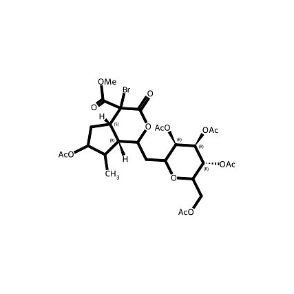 COC(=O)C1(Br)C(=O)OC(CC2OC(COC(C)=O)[C@@H](OC(C)=O)[C@H](OC(C)=O)[C@@H]2OC(C)=O)[C@@H]2C(C)C(OC(C)=O)C[C@@H]21